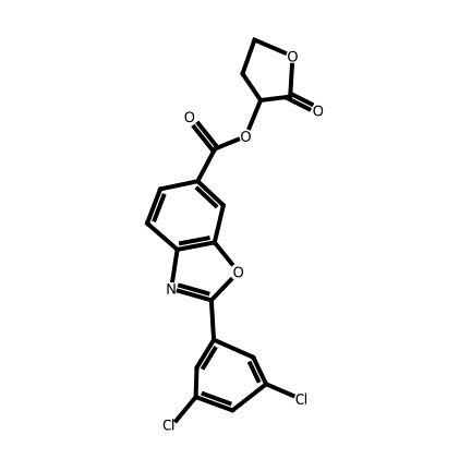 O=C(OC1CCOC1=O)c1ccc2nc(-c3cc(Cl)cc(Cl)c3)oc2c1